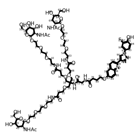 CC(=O)N[C@H]1[C@H](OCCOCCOCCNC(=O)CCOCC(COCCC(=O)NCCOCCOCCO[C@@H]2O[C@H](CO)[C@H](O)C[C@H]2NC(C)=O)(COCCC(=O)NCCOCCOCCO[C@@H]2O[C@H](CO)[C@H](O)C[C@H]2NC(C)=O)NC(=O)CNC(=O)CCCOc2ccc3nc(-c4cn(-c5ccc(O)c(F)c5)nn4)ccc3c2)O[C@H](CO)[C@H](O)[C@@H]1O